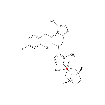 COC(=O)N1[C@@H]2CC[C@H]1CC(n1ncc(-c3cc(Sc4ccc(F)cc4C#N)c4c(C#N)cnn4c3)c1C)C2